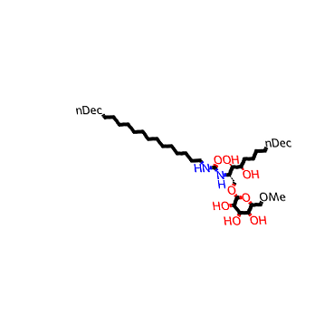 CCCCCCCCCCCCCCCCCCCCCCCCNC(=O)N[C@@H](COC1OC(COC)C(O)C(O)C1O)[C@H](O)[C@H](O)CCCCCCCCCCCCCC